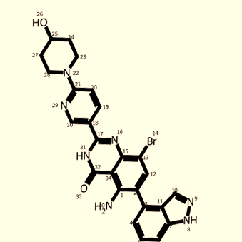 Nc1c(-c2cccc3[nH]ncc23)cc(Br)c2nc(-c3ccc(N4CCC(O)CC4)nc3)[nH]c(=O)c12